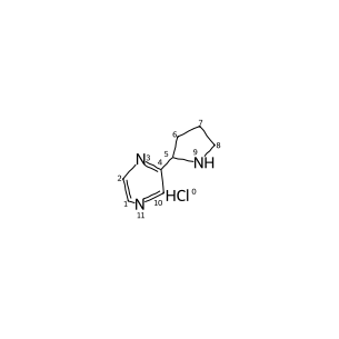 Cl.c1cnc(C2CCCN2)cn1